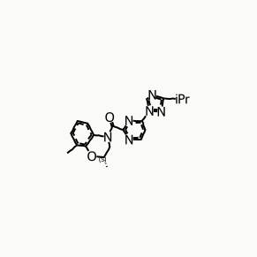 Cc1cccc2c1O[C@@H](C)CN2C(=O)c1nccc(-n2cnc(C(C)C)n2)n1